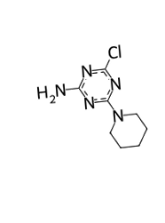 Nc1nc(Cl)nc(N2CCCCC2)n1